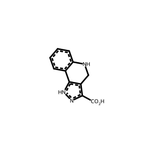 O=C(O)c1n[nH]c2c1CNc1ccccc1-2